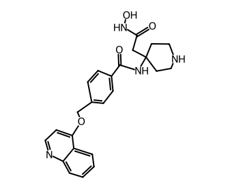 O=C(CC1(NC(=O)c2ccc(COc3ccnc4ccccc34)cc2)CCNCC1)NO